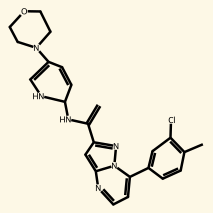 C=C(NC1C=CC(N2CCOCC2)=CN1)c1cc2nccc(-c3ccc(C)c(Cl)c3)n2n1